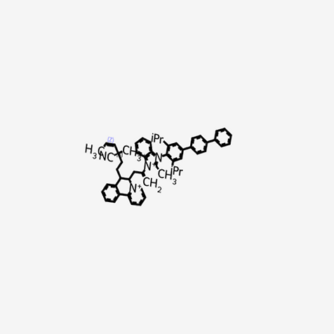 C=C(CC1C(CC[C@](C)(C#N)/C=C\C)c2ccccc2-c2cccc[n+]21)[n+]1c(C)n(-c2c(C(C)C)cc(-c3ccc(-c4ccccc4)cc3)cc2C(C)C)c2ccccc21